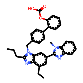 CCCc1nc2c(CC)cc(-c3nc4ccccc4n3C)cc2n1Cc1ccc(-c2ccccc2OC(=O)O)cc1